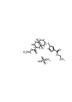 CCOC(=O)c1cn(C[C@H]2CC[C@H]3CN[C@H](C(=O)OCC)C[C@H]3C2)cn1.CS(=O)(=O)O